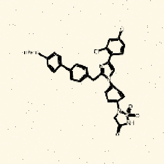 CCCCCc1ccc(-c2ccc(Cc3nc(-c4ccc(Cl)cc4Cl)cn3-c3ccc(N4CC(=O)NS4(=O)=O)cc3)cc2)cc1